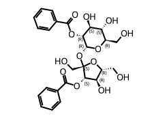 O=C(O[C@H]1[C@@H](O[C@]2(CO)O[C@H](CO)[C@@H](O)[C@@H]2OC(=O)c2ccccc2)O[C@H](CO)[C@@H](O)[C@@H]1O)c1ccccc1